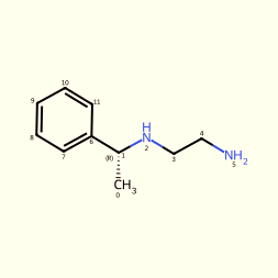 C[C@@H](NCCN)c1ccccc1